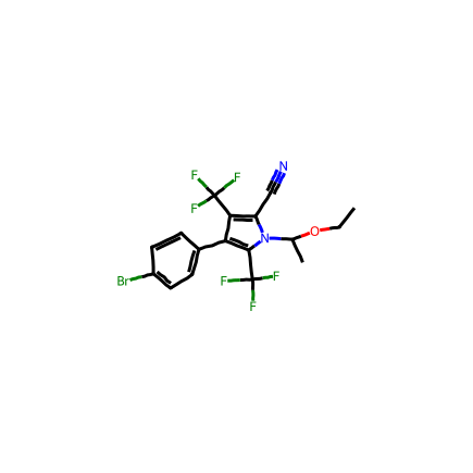 CCOC(C)n1c(C#N)c(C(F)(F)F)c(-c2ccc(Br)cc2)c1C(F)(F)F